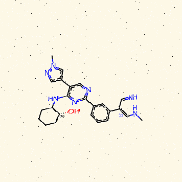 CN/C=C(\C=N)c1cccc(-c2ncc(-c3cnn(C)c3)c(NC3CCCC[C@H]3O)n2)c1